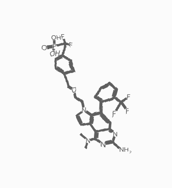 CN(C)c1nc(N)nc2cc(-c3ccccc3C(F)(F)F)c3c(ccn3CCOCc3ccc(C(F)(F)P(=O)(O)O)cc3)c12